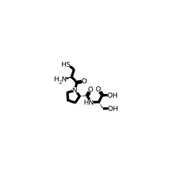 N[C@@H](CS)C(=O)N1CCC[C@H]1C(=O)N[C@@H](CO)C(=O)O